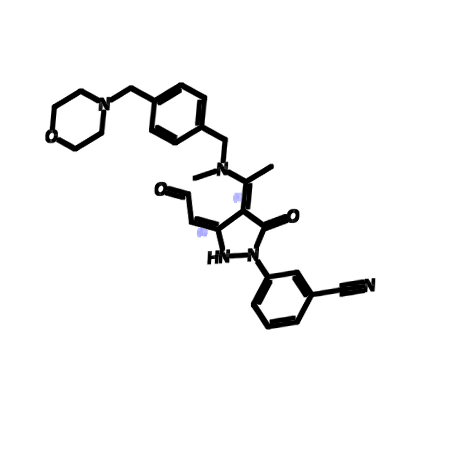 C/C(=c1\c(=O)n(-c2cccc(C#N)c2)[nH]\c1=C\C=O)N(C)Cc1ccc(CN2CCOCC2)cc1